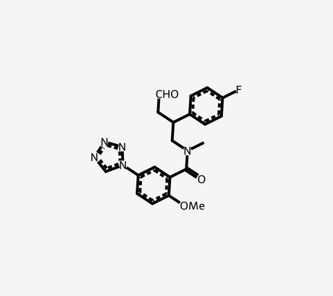 COc1ccc(-n2cnnn2)cc1C(=O)N(C)CC(CC=O)c1ccc(F)cc1